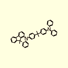 CC(C)(c1ccc(N(c2ccccc2)c2ccccc2)cc1)c1ccc(N(c2ccccc2)c2cccc3c2C(C)(C)c2ccccc2-3)cc1